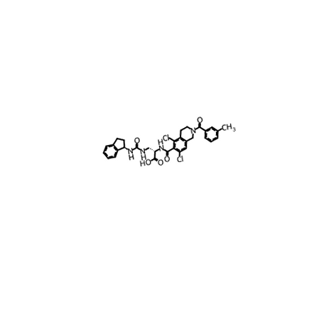 Cc1cccc(C(=O)N2CCc3c(cc(Cl)c(C(=O)N[C@@H](CNC(=O)N[C@@H]4CCc5ccccc54)C(=O)O)c3Cl)C2)c1